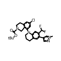 Cn1cc(-c2cc3c(cc2C(F)F)N(c2cc(Cl)cc4c2CN(C(=O)OC(C)(C)C)CC4)CCC3)cn1